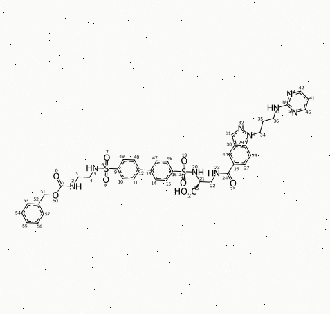 O=C(NCCNS(=O)(=O)c1ccc(-c2ccc(S(=O)(=O)N[C@@H](CNC(=O)c3ccc4c(cnn4CCCNc4ncccn4)c3)C(=O)O)cc2)cc1)OCc1ccccc1